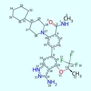 CNC(=O)c1ccc(-c2cc(O[C@H](C)C(F)(F)F)c3c(N)n[nH]c3c2)cc1N1CCC(C2CCCCC2)CC1